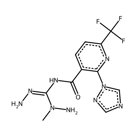 CN(N)/C(=N\N)NC(=O)c1ccc(C(F)(F)F)nc1-n1cncn1